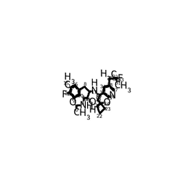 CC(=O)NC[C@@H](O)C(Cc1ccc(F)c(C)c1)N[C@H]1CC2(CCC2)Oc2ncc(CC(C)(C)F)cc21